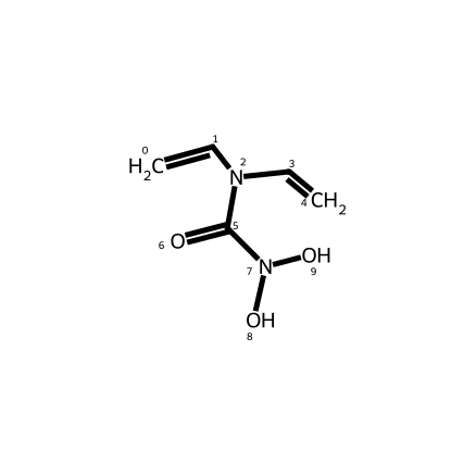 C=CN(C=C)C(=O)N(O)O